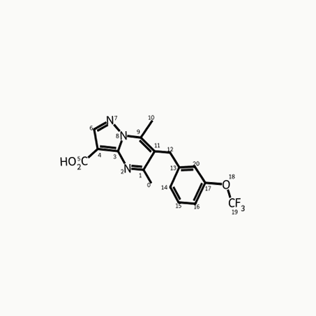 Cc1nc2c(C(=O)O)cnn2c(C)c1Cc1cccc(OC(F)(F)F)c1